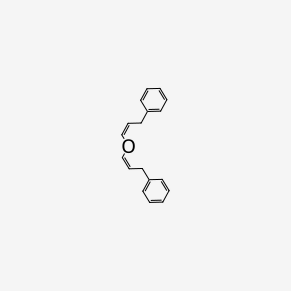 C(=C/O/C=C\Cc1ccccc1)/Cc1ccccc1